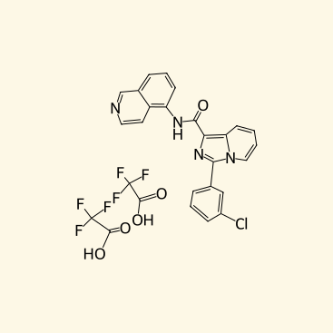 O=C(Nc1cccc2cnccc12)c1nc(-c2cccc(Cl)c2)n2ccccc12.O=C(O)C(F)(F)F.O=C(O)C(F)(F)F